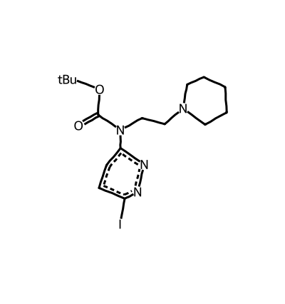 CC(C)(C)OC(=O)N(CCN1CCCCC1)c1ccc(I)nn1